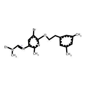 CCN(C)/C=N/c1cc(Br)c(OCCc2cc(C)cc(C)c2)nc1C